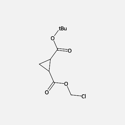 CC(C)(C)OC(=O)C1CC1C(=O)OCCl